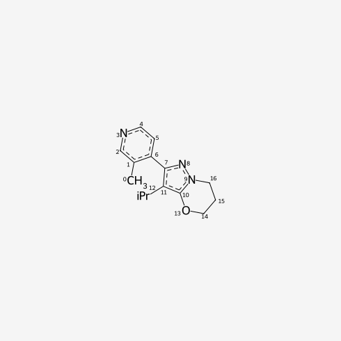 Cc1cnccc1-c1nn2c(c1C(C)C)OCCC2